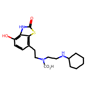 O=C(O)N(CCNC1CCCCC1)CCc1ccc(O)c2[nH]c(=O)sc12